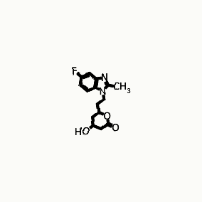 Cc1nc2cc(F)ccc2n1CCC1CC(O)CC(=O)O1